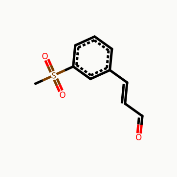 CS(=O)(=O)c1cccc(/C=C/C=O)c1